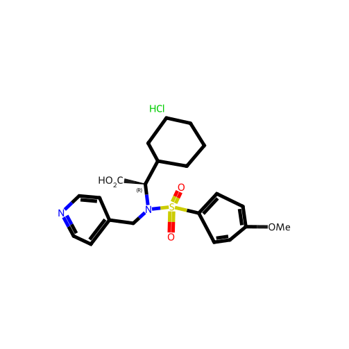 COc1ccc(S(=O)(=O)N(Cc2ccncc2)[C@@H](C(=O)O)C2CCCCC2)cc1.Cl